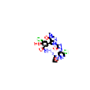 Cn1cnc2c(c(-c3cc(Cl)c(O)c(C(N)=O)c3)cn2CC(=O)Nc2cc(N3CC4CC(C3)O4)ncc2Cl)c1=O